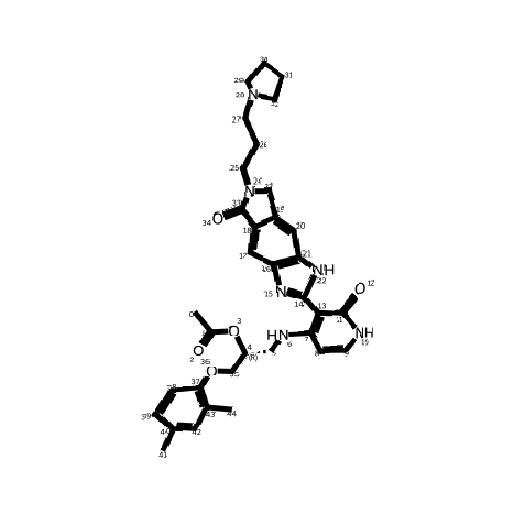 CC(=O)O[C@H](CNc1cc[nH]c(=O)c1-c1nc2cc3c(cc2[nH]1)CN(CCCN1CCCC1)C3=O)COc1ccc(C)cc1C